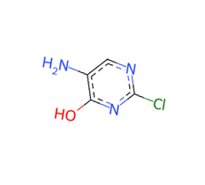 Nc1cnc(Cl)nc1O